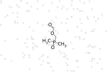 CP(C)(=O)COC=O